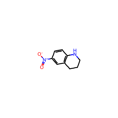 O=[N+]([O-])c1ccc2c(c1)CCCN2